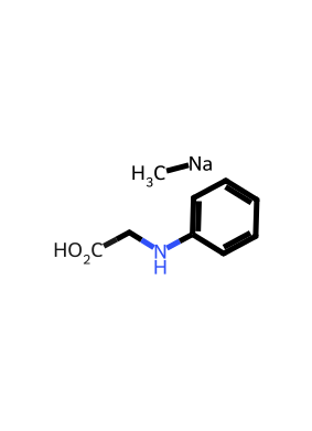 O=C(O)CNc1ccccc1.[CH3][Na]